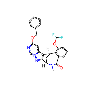 CN1C(=O)c2cccc(OC(F)F)c2[C@H]2C[C@@H]1c1nn3cnc(OCc4ccccc4)cc3c12